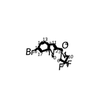 Cn1c(C(=O)N2CC(F)(F)C2)cc2ccc(Br)cc21